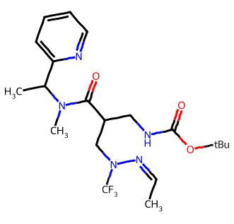 C/C=N\N(CC(CNC(=O)OC(C)(C)C)C(=O)N(C)C(C)c1ccccn1)C(F)(F)F